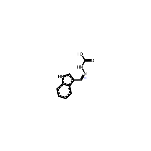 O=C(O)N/N=C\c1c[nH]c2ccccc12